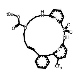 CC(C)(C)OC(=O)N1CC/C=C/c2ccccc2-c2nc(ccc2C(F)(F)F)NS(=O)(=O)c2cccc(n2)NCC1